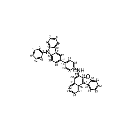 c1ccc(-n2c3ccccc3c3cc(-c4ccc(Nc5cc6ccccc6c6c5oc5ccccc56)cc4)ccc32)cc1